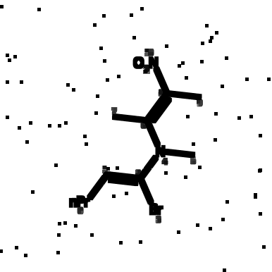 CCC/C=C(\Br)N(C)/C(C)=C(\C)[N+](=O)[O-]